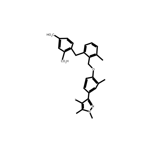 Cc1cc(-c2nn(C)c(C)c2I)ccc1OCc1c(C)cccc1Cc1ccc(C(=O)O)cc1C(=O)O